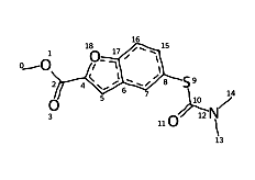 COC(=O)c1cc2cc(SC(=O)N(C)C)ccc2o1